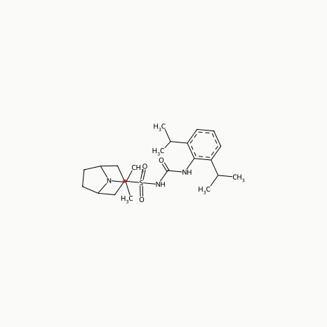 CC(C)c1cccc(C(C)C)c1NC(=O)NS(=O)(=O)C1CC2CCC(C1)N2C(C)C